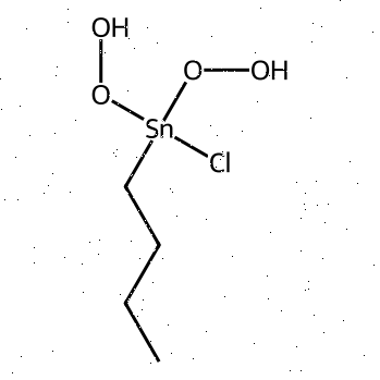 CCC[CH2][Sn]([Cl])([O]O)[O]O